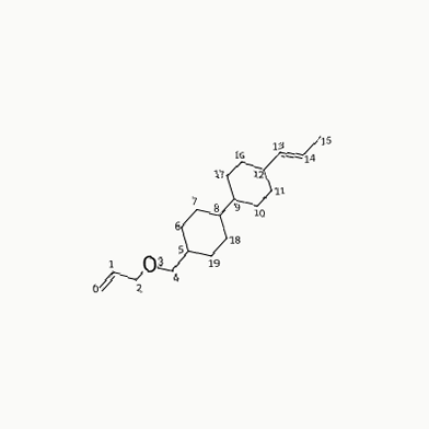 C=CCOCC1CCC(C2CCC(C=CC)CC2)CC1